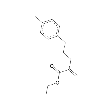 C=C(CCCc1ccc(C)cc1)C(=O)OCC